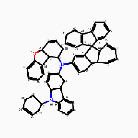 C1=CC2C3CC=C(N(C4C=CC5C(C4)c4ccccc4N5C4CC=CCC4)C4CC=CC5Oc6ccccc6C54)C=C3C3(C4=C(CCC=C4)c4ccccc43)C2C=C1